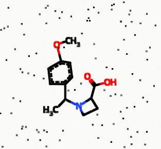 COc1ccc(C(C)N2CCC2C(=O)O)cc1